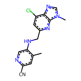 Cc1cc(C#N)ncc1NCc1cc(Cl)c2ncn(C)c2n1